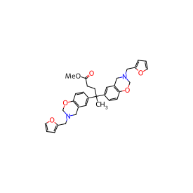 COC(=O)CCC(C)(c1ccc2c(c1)CN(Cc1ccco1)CO2)c1ccc2c(c1)CN(Cc1ccco1)CO2